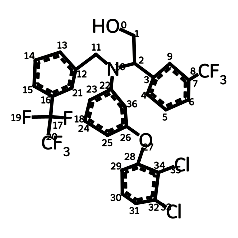 OCC(c1cccc(C(F)(F)F)c1)N(Cc1cccc(C(F)(F)C(F)(F)F)c1)c1cccc(Oc2cccc(Cl)c2Cl)c1